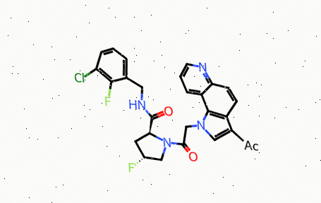 CC(=O)c1cn(CC(=O)N2C[C@H](F)C[C@H]2C(=O)NCc2cccc(Cl)c2F)c2c1ccc1ncccc12